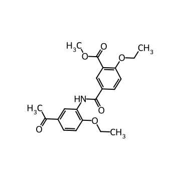 CCOc1ccc(C(C)=O)cc1NC(=O)c1ccc(OCC)c(C(=O)OC)c1